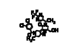 CC(c1cnc(C(F)(F)F)nc1)N1C[C@@H](CO)n2nc3c(c2C1=O)CN(C(=O)c1ccc(Cl)c(Cl)c1)[C@H](C)C3